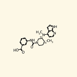 C[C@@H]1CCN(C(=O)Nc2cccc(C(=O)O)c2)C[C@@H]1N(C)c1ccnc2[nH]ccc12